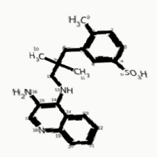 Cc1ccc(S(=O)(=O)O)cc1CC(C)(C)CNc1c(N)cnc2ccccc12